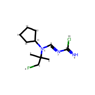 CC(C)(CF)N(/C=N/C(=N)Cl)C1CCCC1